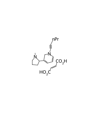 CCCC#CN1C=CC=C(C2CCCN2C)C1.O=C(O)C=CC(=O)O